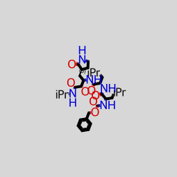 CC(C)CC(NC(=O)OCc1ccccc1)C(=O)NC(CC(C)C)C(=O)NC(C[C@@H]1CCNC1=O)C(=O)C(=O)NC(C)C